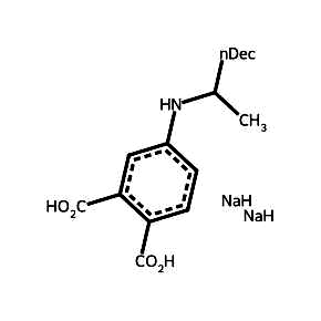 CCCCCCCCCCC(C)Nc1ccc(C(=O)O)c(C(=O)O)c1.[NaH].[NaH]